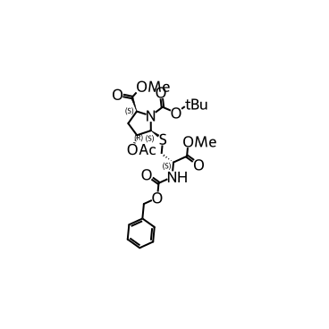 COC(=O)[C@@H](CS[C@H]1[C@H](OC(C)=O)C[C@@H](C(=O)OC)N1C(=O)OC(C)(C)C)NC(=O)OCc1ccccc1